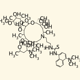 CC[C@H]1OC(=O)[C@H](C)[C@@H](O[C@H]2C[C@@](C)(OC)[C@@H](O)[C@H](C)O2)[C@H](C)[C@@H](O[C@@H]2O[C@H](C)C[C@H](N(C)C)[C@H]2O)[C@](C)(O)C[C@@H](C)CN(CCCNC(=S)Nc2ccc(N(C)C)c3ccccc23)[C@H](C)[C@@H](O)[C@]1(C)O